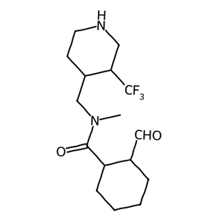 CN(CC1CCNCC1C(F)(F)F)C(=O)C1CCCCC1C=O